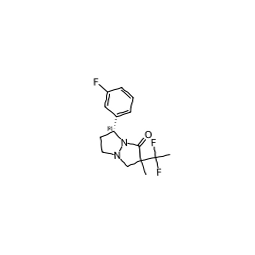 CC(F)(F)C1(C)CN2CC[C@H](c3cccc(F)c3)N2C1=O